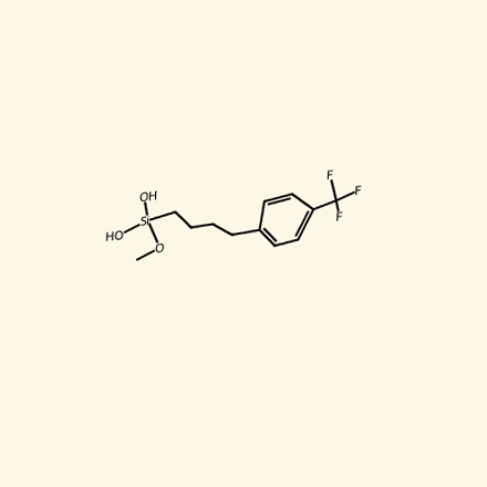 CO[Si](O)(O)CCCCc1ccc(C(F)(F)F)cc1